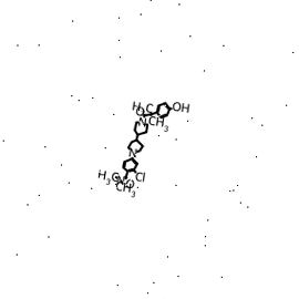 CN(C)C(=O)c1ccc(N2CCC(C3CCN(C(=O)C(C)(C)c4ccc(O)cc4)CC3)CC2)cc1Cl